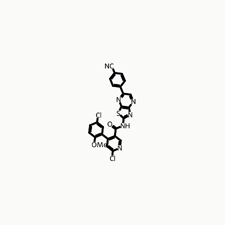 COc1ccc(Cl)cc1-c1cc(Cl)ncc1C(=O)Nc1nc2ncc(-c3ccc(C#N)cc3)nc2s1